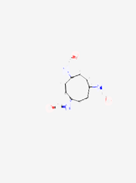 O=C=NC1CCC(N=C=O)CCC(N=C=O)CC1